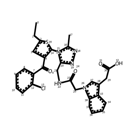 CCc1cc(C(=O)c2ccccc2Cl)c(-n2c(C)nnc2CNC(=O)Cn2cc(CC(=O)O)c3ccccc32)s1